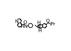 CC(C)C(=O)c1ccc2c(c1)[C@H]1CC[C@@H]2N1CC[C@H]1CC[C@H](NC(=O)c2cccc3ncccc23)CC1